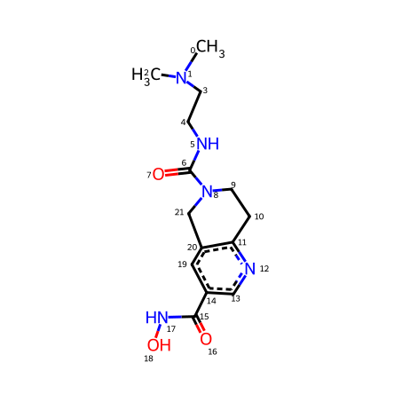 CN(C)CCNC(=O)N1CCc2ncc(C(=O)NO)cc2C1